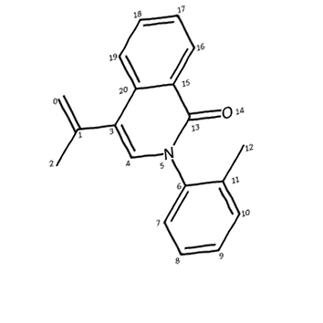 C=C(C)c1cn(-c2ccccc2C)c(=O)c2ccccc12